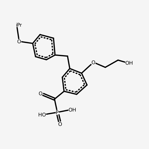 CC(C)Oc1ccc(Cc2cc(C(=O)P(=O)(O)O)ccc2OCCO)cc1